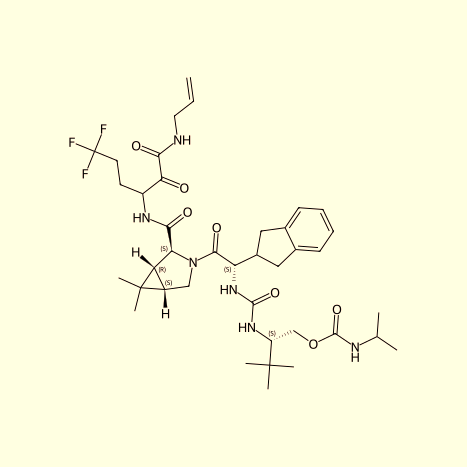 C=CCNC(=O)C(=O)C(CCC(F)(F)F)NC(=O)[C@@H]1[C@@H]2[C@H](CN1C(=O)[C@@H](NC(=O)N[C@H](COC(=O)NC(C)C)C(C)(C)C)C1Cc3ccccc3C1)C2(C)C